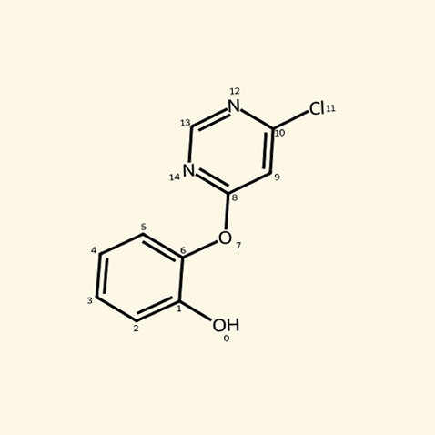 Oc1ccccc1Oc1cc(Cl)ncn1